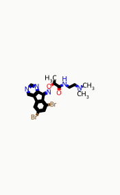 CC(O/N=C1\c2ncncc2-c2cc(Br)cc(Br)c21)C(=O)NCCN(C)C